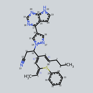 C\C=C(/C=C(\C=C\CCC)C(CC#N)n1cc(-c2ncnc3[nH]ccc23)cn1)Sc1ccccc1